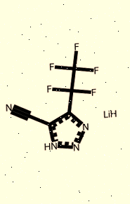 N#Cc1[nH]nnc1C(F)(F)C(F)(F)F.[LiH]